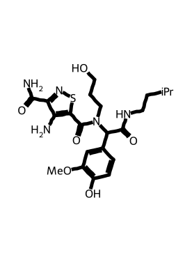 COc1cc(C(C(=O)NCCC(C)C)N(CCCO)C(=O)c2snc(C(N)=O)c2N)ccc1O